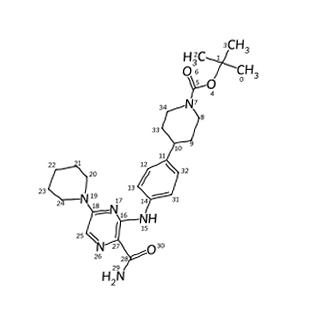 CC(C)(C)OC(=O)N1CCC(c2ccc(Nc3nc(N4CCCCC4)cnc3C(N)=O)cc2)CC1